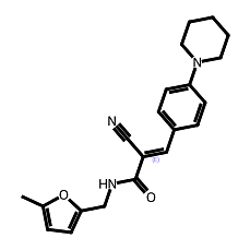 Cc1ccc(CNC(=O)/C(C#N)=C/c2ccc(N3CCCCC3)cc2)o1